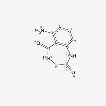 Nc1cccc2c1C(=O)NCC(=O)N2